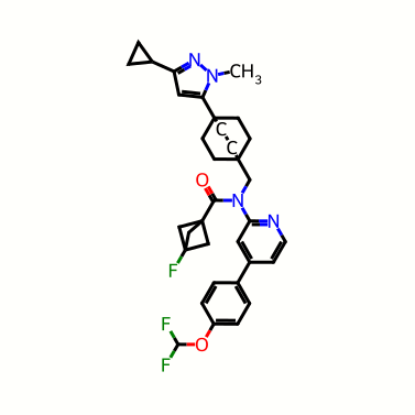 Cn1nc(C2CC2)cc1C12CCC(CN(C(=O)C34CC(F)(C3)C4)c3cc(-c4ccc(OC(F)F)cc4)ccn3)(CC1)CC2